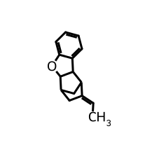 CC=C1CC2CC1C1c3ccccc3OC21